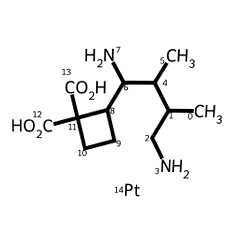 CC(CN)C(C)C(N)C1CCC1(C(=O)O)C(=O)O.[Pt]